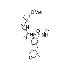 CO[C@H]1CCN(c2nc(C(=O)Nc3ccc(CN4CCOCC4(C)C)cc3C(=O)NC3CC3)cs2)C1